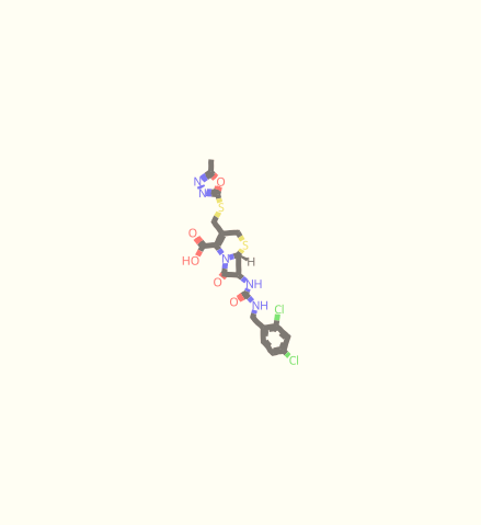 Cc1nnc(SCC2=C(C(=O)O)N3C(=O)C(NC(=O)NCc4ccc(Cl)cc4Cl)[C@H]3SC2)o1